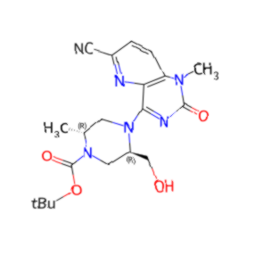 C[C@@H]1CN(c2nc(=O)n(C)c3ccc(C#N)nc23)[C@@H](CO)CN1C(=O)OC(C)(C)C